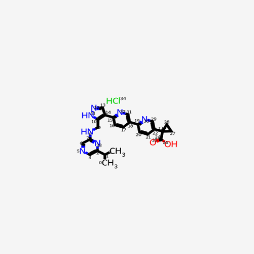 CC(C)c1cncc(NCc2[nH]ncc2-c2ccc(-c3ccc(C4(C(=O)O)CC4)cn3)cn2)n1.Cl